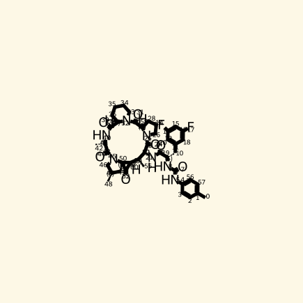 Cc1ccc(NC(=O)N[C@@H](Cc2cc(F)cc(F)c2)C(=O)N[C@@H]2C(=O)N3CCC[C@H]3C(=O)N3CCCC[C@H]3C(=O)N[C@@H](C)C(=O)N3C[C@H](C)C[C@@]34C(=O)[C@@H]4[C@@H]2C)cc1